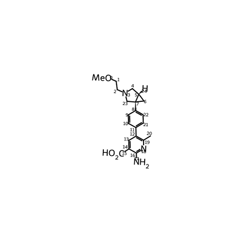 COCCN1C[C@@H]2C[C@]2(c2ccc(-c3cc(C(=O)O)c(N)nc3C)cc2)C1